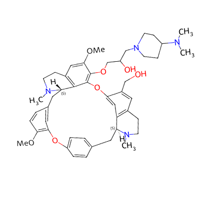 COc1ccc2cc1Oc1ccc(cc1)C[C@H]1c3cc(c(CO)cc3CCN1C)Oc1c(OCC(O)CN3CCC(N(C)C)CC3)c(OC)cc3c1[C@H](C2)N(C)CC3